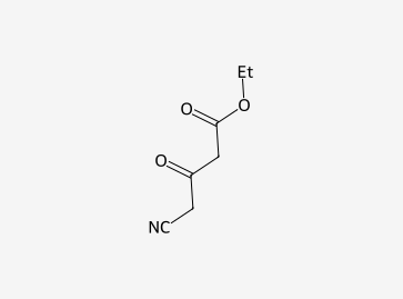 CCOC(=O)CC(=O)CC#N